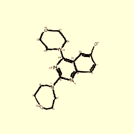 Clc1ccc2nc(N3CCOCC3)nc(N3CCOCC3)c2c1